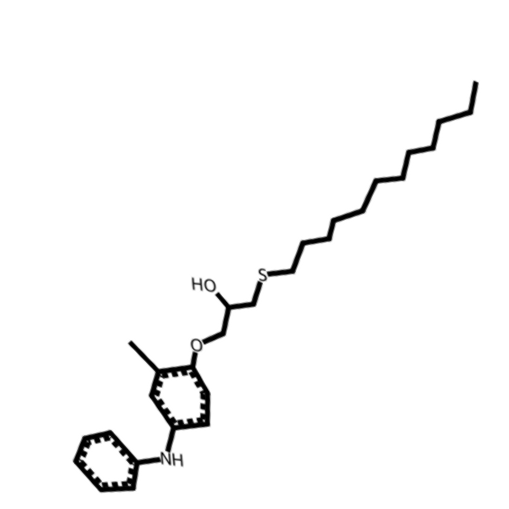 CCCCCCCCCCCCSCC(O)COc1ccc(Nc2ccccc2)cc1C